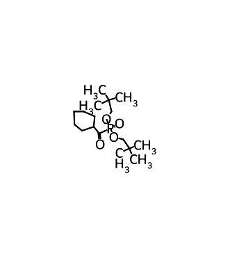 CC(C)(C)COP(=O)(OCC(C)(C)C)C(=O)C1CCCCC1